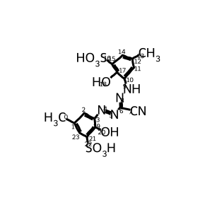 Cc1cc(N=NC(C#N)=NNc2cc(C)cc(S(=O)(=O)O)c2O)c(O)c(S(=O)(=O)O)c1